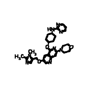 Cc1ncc(COc2cnc3cc(N4CCOCC4)nc(O[C@H]4CC[C@@H](Nc5ncccn5)CC4)c3c2)n1C